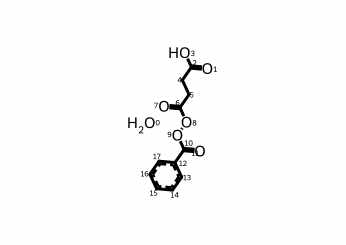 O.O=C(O)CCC(=O)OOC(=O)c1ccccc1